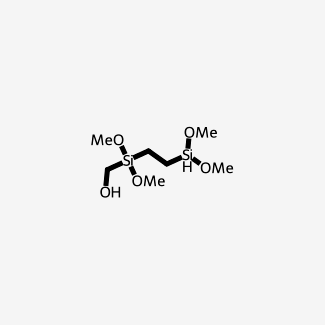 CO[SiH](CC[Si](CO)(OC)OC)OC